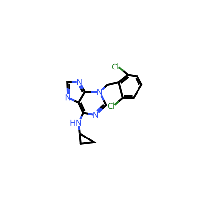 Clc1cccc(Cl)c1Cn1cnc(NC2CC2)c2ncnc1-2